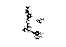 CC(C)[C@@H](C)N(CCNCCc1ccc(O)c2c1OCC(=O)N2)C(=O)CCOCCc1cccc(-c2cnn(C(C)C)c2)c1.O=C(O)C(F)(F)F